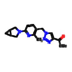 COC(=O)c1cn(Cc2ccc(N3CC4CC4C3)nc2C)nn1